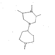 CC1CN(C2CCN(I)CC2)CC(C)N1C